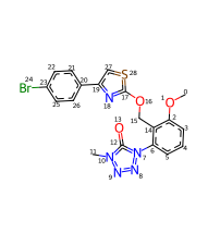 COc1cccc(-n2nnn(C)c2=O)c1COc1nc(-c2ccc(Br)cc2)cs1